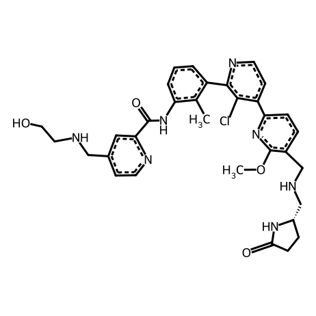 COc1nc(-c2ccnc(-c3cccc(NC(=O)c4cc(CNCCO)ccn4)c3C)c2Cl)ccc1CNC[C@@H]1CCC(=O)N1